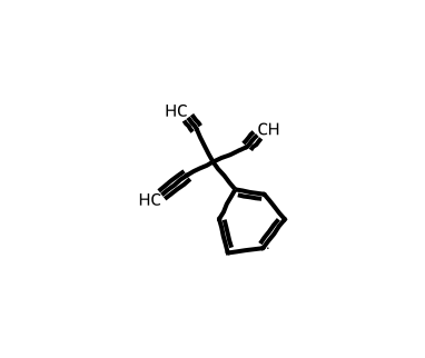 C#CC(C#C)(C#C)c1cc[c]cc1